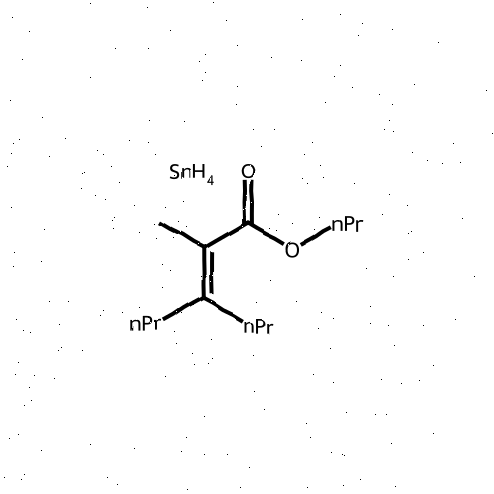 CCCOC(=O)C(C)=C(CCC)CCC.[SnH4]